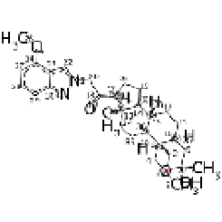 COC[C@]12CC[C@@](C)(O)C[C@@H]1CC[C@H]1[C@@H]3CC[C@H](C(=O)Cn4cc5c(OC)cccc5n4)[C@@]3(C)CC[C@@H]12